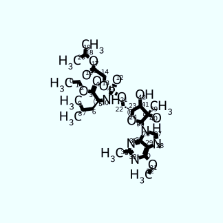 CCOC(=O)[C@H](CC(C)C)NP(=O)(OCC(=O)OC(C)C)OC[C@H]1O[C@@H](n2cnc3c(OC)nc(C)nc32)[C@@](C)(O)C1O